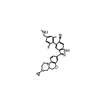 CNCc1cc(C)c(-c2cc3c(-c4ccc5c(c4)OCC4CN(C6CC6)CCN54)n[nH]c3cc2C#N)c(F)c1